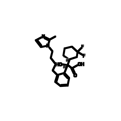 Cc1nccn1CCCCc1ccccc1[C@@](O)(C(=O)O)[C@@H]1CCCC(F)(F)C1